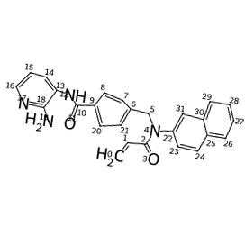 C=CC(=O)N(Cc1ccc(C(=O)Nc2cccnc2N)cc1)c1ccc2ccccc2c1